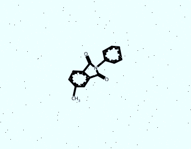 Cc1ccc2c(c1)C(=O)N(c1ccccc1)C2=O